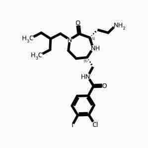 CCC(CC)CN1CC[C@@H](CNC(=O)c2ccc(I)c(Cl)c2)N[C@@H](CCN)C1=O